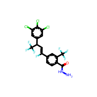 NNC(=O)c1ccc(C(F)=CC(c2cc(Cl)c(Cl)c(Cl)c2)C(F)(F)F)cc1C(F)(F)F